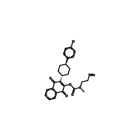 CNCCN(C)C(=O)OC1=C([C@H]2CC[C@H](c3ccc(Cl)cc3)CC2)C(=O)c2ccccc2C1=O